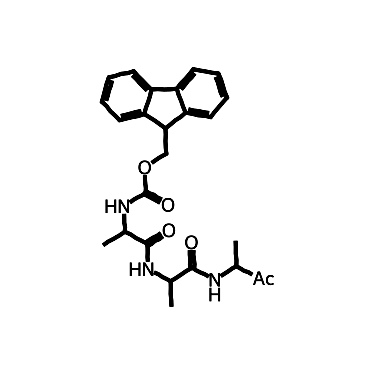 CC(=O)C(C)NC(=O)C(C)NC(=O)C(C)NC(=O)OCC1c2ccccc2-c2ccccc21